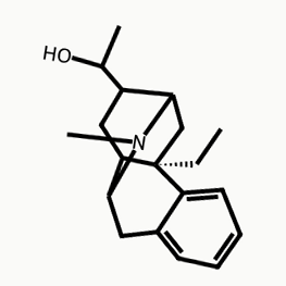 CC[C@@]12CC3C(C(C)O)CC1C(Cc1ccccc12)N3C